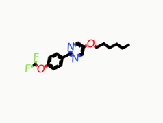 CCCCCCOc1cnc(-c2ccc(OC(F)F)cc2)nc1